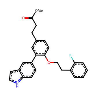 COC(=O)CCc1ccc(OCCc2ccccc2F)c(-c2ccc3[nH]ccc3c2)c1